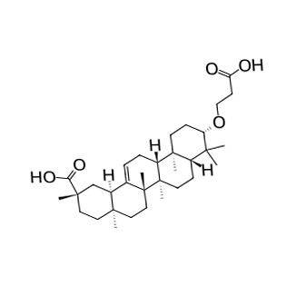 CC1(C)[C@@H](OCCC(=O)O)CC[C@]2(C)[C@H]3CC=C4[C@@H]5C[C@@](C)(C(=O)O)CC[C@]5(C)CC[C@@]4(C)[C@]3(C)CC[C@@H]12